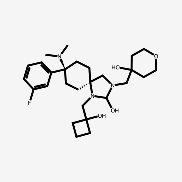 CN(C)[C@]1(c2cccc(F)c2)CC[C@]2(CC1)CN(CC1(O)CCOCC1)C(O)N2CC1(O)CCC1